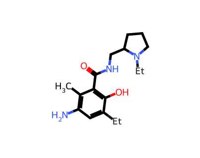 CCc1cc(N)c(C)c(C(=O)NCC2CCCN2CC)c1O